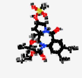 COc1cc2c(cc1OC)N(C(=O)OCC(Cl)(Cl)Cl)[C@@H](O[Si](C)(C)C(C)(C)C)[C@@H]1CC(OS(=O)(=O)C(F)(F)F)=CN1C2=O